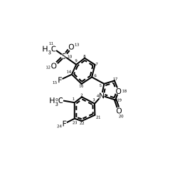 Cc1cc(-n2c(-c3ccc(S(C)(=O)=O)c(F)c3)coc2=O)ccc1F